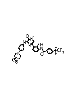 Cc1c(NC(=O)c2ccc(C(F)(F)C(F)(F)F)cc2)cccc1-c1cn(C)c(=O)c(Nc2ccc(N3CCS(=O)(=O)CC3)cc2)n1